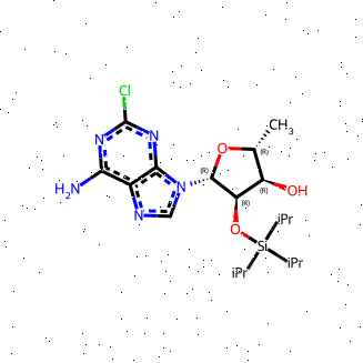 CC(C)[Si](O[C@@H]1[C@H](O)[C@@H](C)O[C@H]1n1cnc2c(N)nc(Cl)nc21)(C(C)C)C(C)C